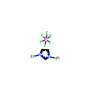 CCCn1cc[n+](CC)c1.F[P-](F)(F)(F)(F)F